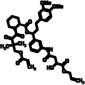 C=CCOC(=O)C(O)CC(=O)Nc1cccc(C(CCc2ccc(OC)c(OC)c2)OC(=O)[C@@H]2CCCCN2C(=O)C(=O)C(C)(C)COC(=O)C=C)c1